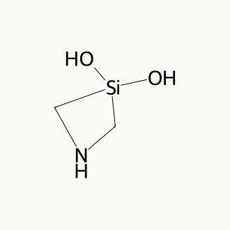 O[Si]1(O)CNC1